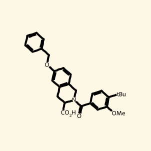 COc1cc(C(=O)N2Cc3ccc(OCc4ccccc4)cc3CC2C(=O)O)ccc1C(C)(C)C